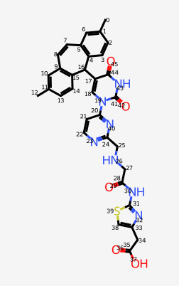 Cc1ccc2c(c1)C=Cc1cc(C)ccc1C2c1cn(-c2ccnc(CNCC(=O)Nc3nc(CC(=O)O)cs3)n2)c(=O)[nH]c1=O